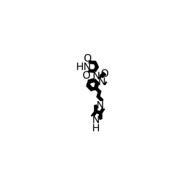 Cn1c(=O)n(C2CCC(=O)NC2=O)c2cccc(CCCN3CC4CNCC4C3)c21